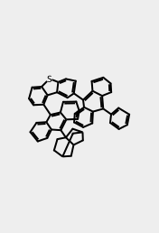 c1ccc(-c2c3ccccc3c(-c3ccc4sc5cccc(-c6c7ccccc7c(C78CCC9CC(CC7C9)C8)c7ccccc67)c5c4c3)c3ccccc23)cc1